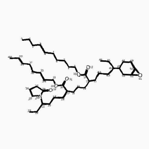 CCCCCCCCCCOC(=O)C(CCCC(CCCC(CC)N1CCCC1=O)C(=O)OCCCCCCCC)CCCC(CC)C1CCC2OC2C1